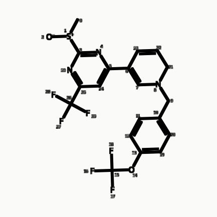 C[S+]([O-])c1nc(C2=CN(Cc3ccc(OC(F)(F)F)cc3)CC=C2)cc(C(F)(F)F)n1